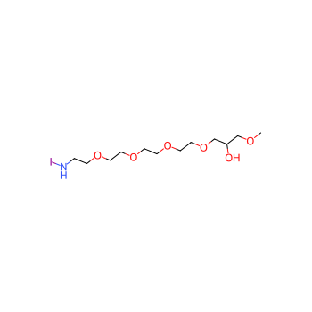 COCC(O)COCCOCCOCCOCCNI